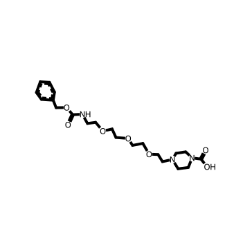 O=C(NCCOCCOCCOCCN1CCN(C(=O)O)CC1)OCc1ccccc1